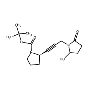 CC(C)(C)OC(=O)N1CCC[C@@H]1C#CCN1C(=O)CCC1O